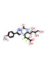 COc1ccc(-c2cn([C@H]3C(F)C(F)(C(=O)O)O[C@@H]([C@H](O)[C@H](O)CO)[C@@H]3NC(C)=O)nn2)cc1